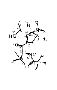 CC(C)(C)C(=O)N[C@H](C(=O)N1C[C@H]2[C@@H]([C@H]1C(=O)O)C2(C)C)C(C)(C)C